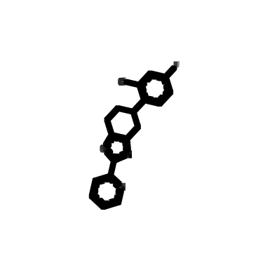 Fc1ccc(C2CCc3oc(-c4ccccn4)nc3C2)c(Cl)c1